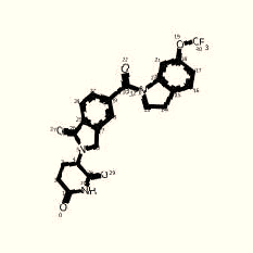 O=C1CCC(N2Cc3cc(C(=O)N4CCc5ccc(OC(F)(F)F)cc54)ccc3C2=O)C(=O)N1